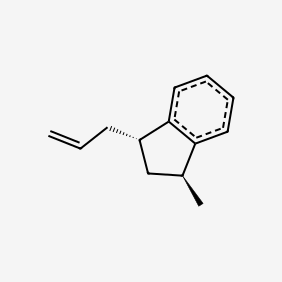 C=CC[C@H]1C[C@H](C)c2ccccc21